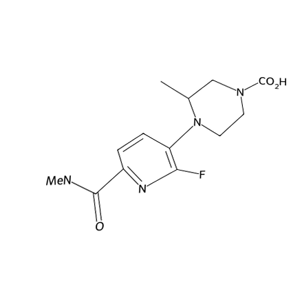 CNC(=O)c1ccc(N2CCN(C(=O)O)CC2C)c(F)n1